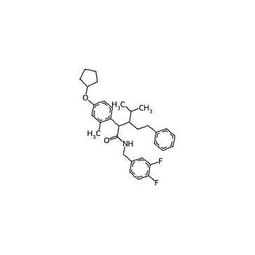 Cc1cc(OC2CCCC2)ccc1C(C(=O)NCc1ccc(F)c(F)c1)C(CCc1ccccc1)C(C)C